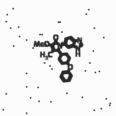 COC1=C(C)C(C2CCC(Oc3ccccc3)CC2)N(c2ccc3nc[nH]c3c2)C1=O